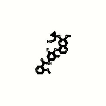 COc1ccncc1C(=O)Nc1cc(F)c(Oc2ccnc3cc(OC)c(OC4(CO)CC4)nc23)c(F)c1